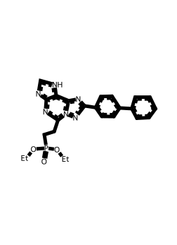 CCOP(=O)(CCc1nc2nc[nH]c2c2nc(-c3ccc(-c4ccccc4)cc3)nn12)OCC